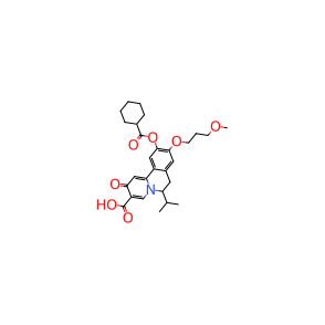 COCCCOc1cc2c(cc1OC(=O)C1CCCCC1)-c1cc(=O)c(C(=O)O)cn1C(C(C)C)C2